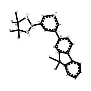 CC1(C)c2ccccc2-c2ccc(-c3cncc(B4OC(C)(C)C(C)(C)O4)c3)cc21